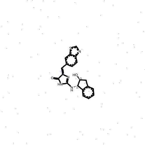 O=C1NC(N[C@H]2c3ccccc3C[C@@H]2O)=N/C1=C\c1ccc2ncsc2c1